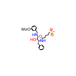 COc1cccc(CNC[C@@H](O)[C@H](Cc2ccccc2)NC(=O)CCCCS(C)(=O)=O)c1